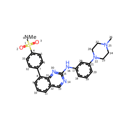 CNS(=O)(=O)c1ccc(-c2cccc3cnc(Nc4cccc(N5CCN(C)CC5)c4)nc23)cc1